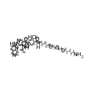 Cl.NCCCCCOCCOCCOCCCCCNC(=O)[C@H]1CC[C@H](NC(=O)c2cnc(Nc3ccc4cnccc4n3)cc2NC2CC2)CC1